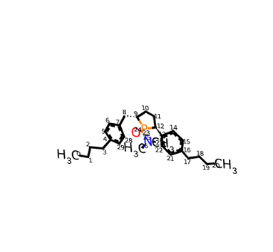 CCCCc1ccc(C[C@@H]2CC[C@@H](c3ccc(CCCC)cc3)P2(=O)N(C)C)cc1